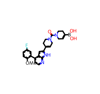 COc1ccc(F)cc1-c1ccnc2[nH]c(C3=CCN(C(=O)N4CC=C(B(O)O)CC4)CC3)cc12